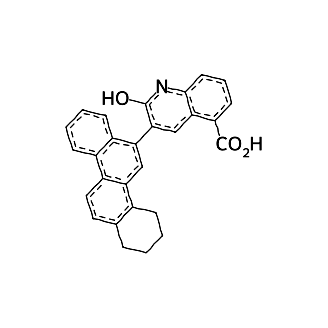 O=C(O)c1cccc2nc(O)c(-c3cc4c5c(ccc4c4ccccc34)CCCC5)cc12